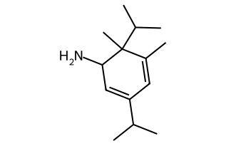 CC1=CC(C(C)C)=CC(N)C1(C)C(C)C